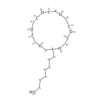 CCCCCCCCC1COCCOCCOCCOCCOCCO1